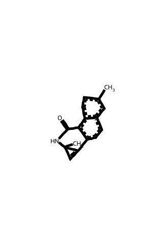 Cc1ccc2c3c(ccc2c1)C1=CC1(C)NC3=O